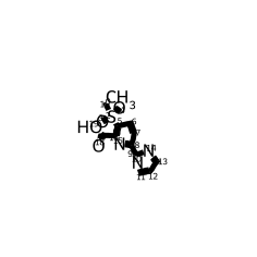 CCS(=O)(=O)c1ccc(-c2ncccn2)nc1C(=O)O